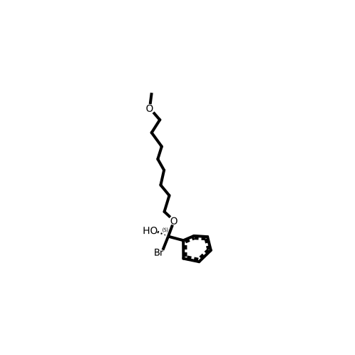 COCCCCCCCCO[C@](O)(Br)c1ccccc1